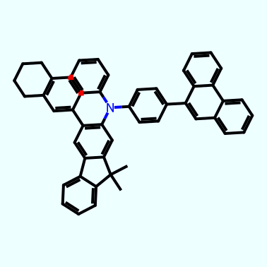 CC1(C)c2ccccc2-c2cc(-c3ccc4c(c3)CCCC4)c(N(c3ccccc3)c3ccc(-c4cc5ccccc5c5ccccc45)cc3)cc21